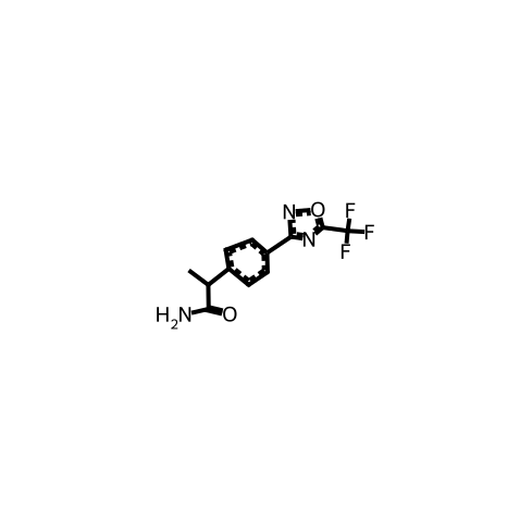 CC(C(N)=O)c1ccc(-c2noc(C(F)(F)F)n2)cc1